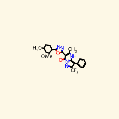 COC1CC(C)CCC1c1nnc(-c2c(C)[nH]c3c(-c4ccccc4)c(C(F)(F)F)nn3c2=O)o1